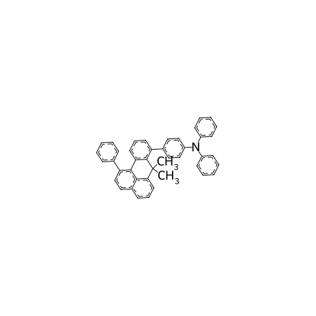 CC1(C)c2c(-c3ccc(N(c4ccccc4)c4ccccc4)cc3)cccc2-c2c(-c3ccccc3)ccc3cccc1c23